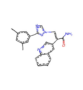 Cc1cc(C)cc(-c2ncn(/C=C(/C(N)=O)c3cnc4ccccc4c3)n2)c1